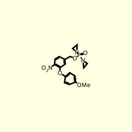 COc1ccc(Oc2cc(COP(=O)(N3CC3)N3CC3)ccc2[N+](=O)[O-])cc1